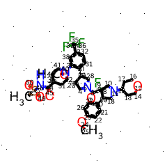 COC[C@H]1CN(C(=O)[C@]2(F)CN(C3CCOCC3)C[C@H]2c2ccc(OC)cc2)C[C@@H]1c1ccc(C(F)(F)F)cc1N1CCC(C(=O)NS(C)(=O)=O)CC1